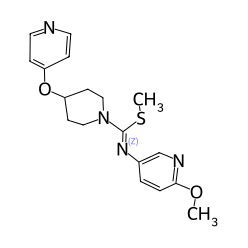 COc1ccc(/N=C(\SC)N2CCC(Oc3ccncc3)CC2)cn1